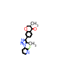 Cc1c(-c2ccc3c(c2)OC[C@H](C)C3=O)nnn1-c1cccnc1F